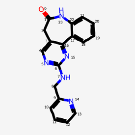 O=C1Cc2cnc(NCc3ccccn3)nc2-c2ccccc2N1